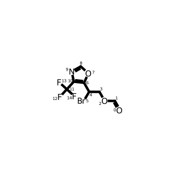 O=COCC(Br)c1ocnc1C(F)(F)F